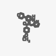 CCO[C@H]1CC[C@H](C(=O)N2Cc3cccnc3Nc3ccc(C4CCOCC4)cc32)CC1